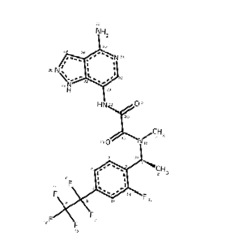 C[C@@H](c1ccc(C(F)(F)C(F)(F)F)cc1F)N(C)C(=O)C(=O)Nc1cnc(N)c2cn[nH]c12